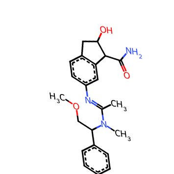 COCC(c1ccccc1)N(C)C(C)=Nc1ccc2c(c1)C(C(N)=O)C(O)C2